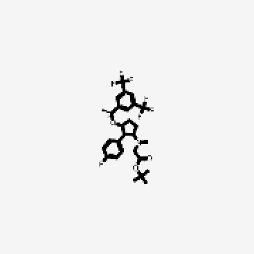 C[C@H](OC1CCC(N(C)CC(=O)OC(C)(C)C)C1c1ccc(F)cc1)c1cc(C(F)(F)F)cc(C(F)(F)F)c1